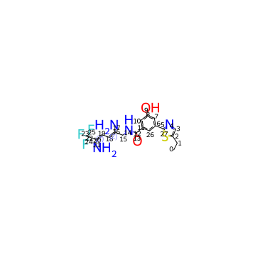 CCc1cnc(-c2cc(O)cc(C(=O)NC/C(N)=C/C=C(\N)C(F)(F)F)c2)s1